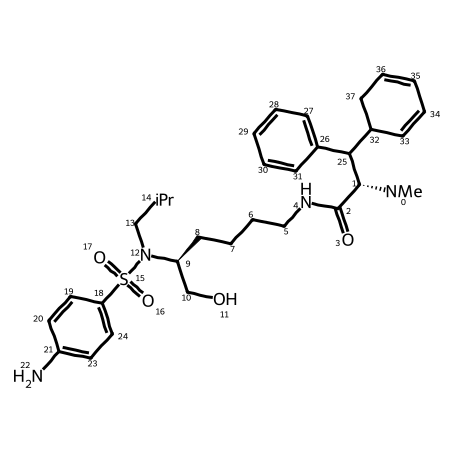 CN[C@H](C(=O)NCCCC[C@@H](CO)N(CC(C)C)S(=O)(=O)c1ccc(N)cc1)C(c1ccccc1)C1C=CC=CC1